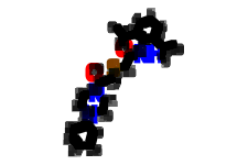 CC(C)c1cccc(C(C)C)c1NC(=O)CSCC(=O)N1CCN(c2ccccc2)CC1